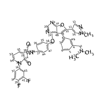 CN(C)Cc1cccc(-c2c(-c3cnn(C)c3)oc3ncnc(Oc4ccc(NC(=O)c5cccn(-c6ccc(F)c(F)c6)c5=O)cc4)c23)c1